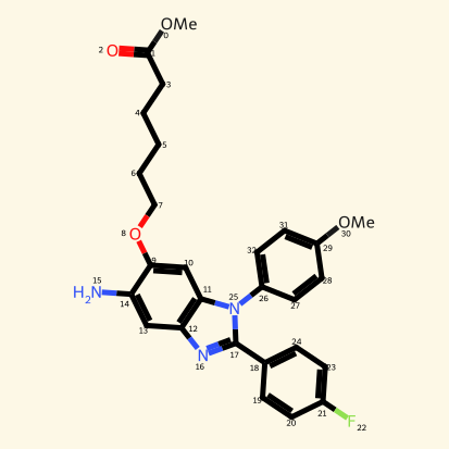 COC(=O)CCCCCOc1cc2c(cc1N)nc(-c1ccc(F)cc1)n2-c1ccc(OC)cc1